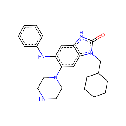 O=c1[nH]c2cc(Nc3ccccc3)c(N3CCNCC3)cc2n1CC1CCCCC1